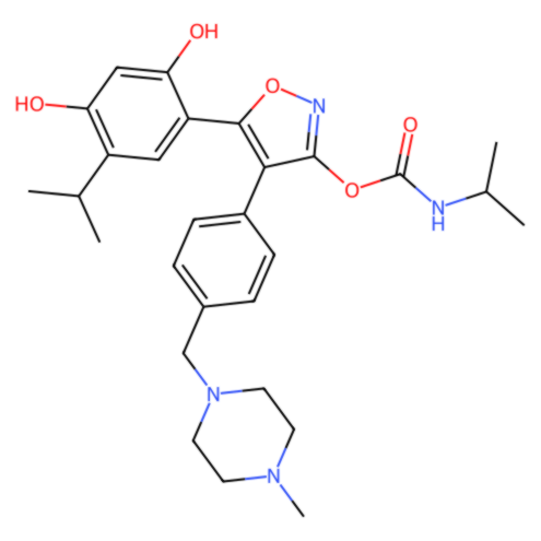 CC(C)NC(=O)Oc1noc(-c2cc(C(C)C)c(O)cc2O)c1-c1ccc(CN2CCN(C)CC2)cc1